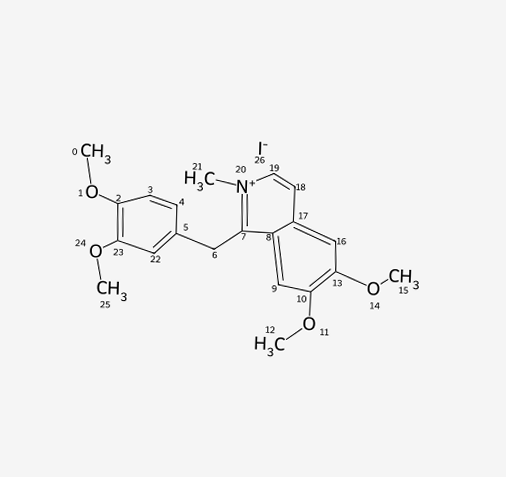 COc1ccc(Cc2c3cc(OC)c(OC)cc3cc[n+]2C)cc1OC.[I-]